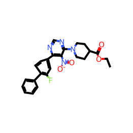 CCOC(=O)C1CCN(c2ncnc(-c3ccc(-c4ccccc4)c(F)c3)c2[N+](=O)[O-])CC1